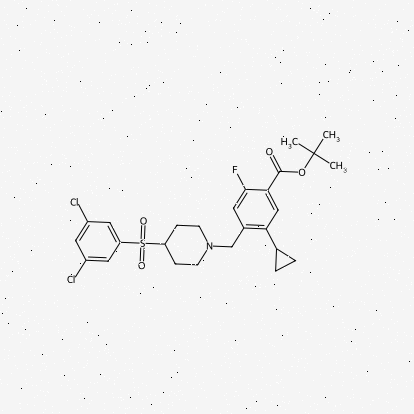 CC(C)(C)OC(=O)c1cc(C2CC2)c(CN2CCC(S(=O)(=O)c3cc(Cl)cc(Cl)c3)CC2)cc1F